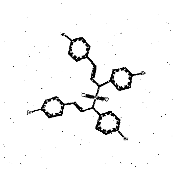 O=S(=O)(C(C=Cc1ccc(Br)cc1)c1ccc(Br)cc1)C(C=Cc1ccc(Br)cc1)c1ccc(Br)cc1